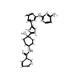 Cc1cc(Nc2nccc(C(F)(F)F)n2)cc(-c2cnc([C@]3(O)CC[C@@H](NC(=O)C4CCCOC4)CC3)s2)c1